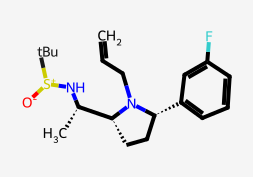 C=CCN1[C@@H]([C@H](C)N[S+]([O-])C(C)(C)C)CC[C@H]1c1cccc(F)c1